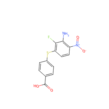 Nc1c([N+](=O)[O-])ccc(Sc2ccc(C(=O)O)cc2)c1F